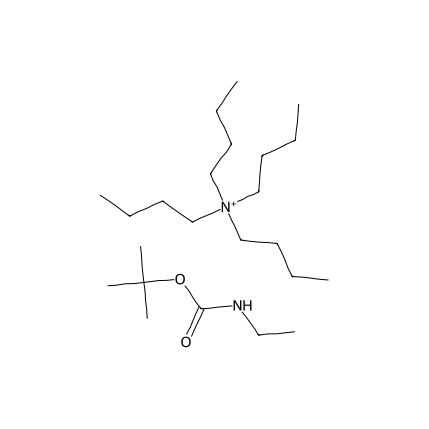 CCCC[N+](CCCC)(CCCC)CCCC.CCNC(=O)OC(C)(C)C